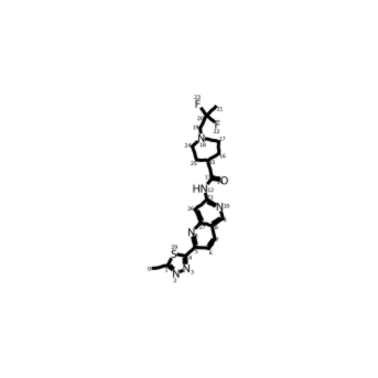 Cc1nnc(-c2ccc3cnc(NC(=O)C4CCN(CC(C)(F)F)CC4)cc3n2)s1